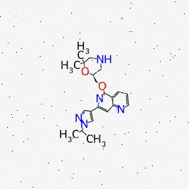 CC(C)n1cc(-c2cc3ncccc3c(OC[C@@H]3CNCC(C)(C)O3)n2)cn1